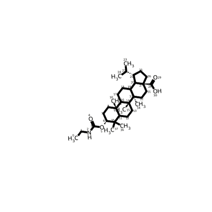 CCNC(=O)O[C@@H]1CC[C@@]2(C)C(CC[C@]3(C)C2CCC2C4[C@H](C(C)C)CC[C@]4(C(=O)O)CC[C@]23C)C1(C)C